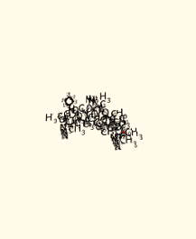 CCC1O[C@H](O[C@@H]2C(C)O[C@@H](O[C@@H]3C(COC(=O)c4ccccc4)O[C@H](OC)C(N=[N+]=[N-])[C@H]3C)C(C)[C@H]2C)C(N=[N+]=[N-])[C@@H](C)[C@@H]1O[C@@H]1O[C@@H](C(C)=O)[C@@H](O[C@H]2O[C@@H](CC)[C@@H](C)[C@H](C)C2N=[N+]=[N-])[C@H](C)C1C